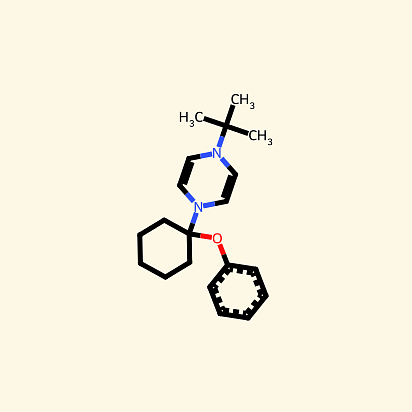 CC(C)(C)N1C=CN(C2(Oc3ccccc3)CCCCC2)C=C1